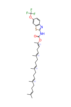 CC(C)=CCC/C(C)=C/CC/C(C)=C/CC/C(C)=C/C/C=C(\C)OC(=O)Nc1nc2ccc(OC(F)(F)F)cc2s1